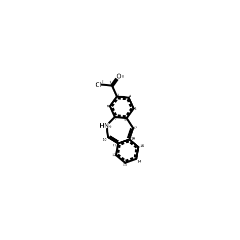 O=C(Cl)c1ccc2c(c1)NC=c1ccccc1=C2